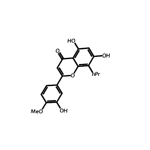 CCCc1c(O)cc(O)c2c(=O)cc(-c3ccc(OC)c(O)c3)oc12